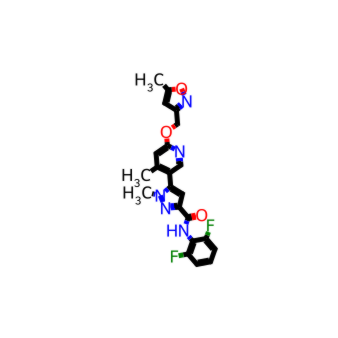 Cc1cc(COc2cc(C)c(-c3cc(C(=O)Nc4c(F)cccc4F)nn3C)cn2)no1